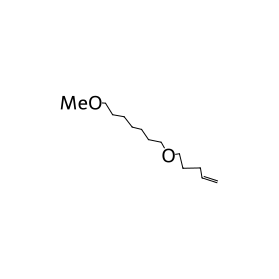 C=CCCCOCCCCCCCOC